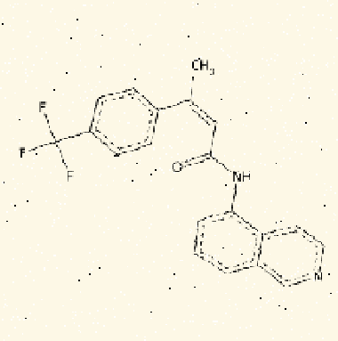 C/C(=C/C(=O)Nc1cccc2cnccc12)c1ccc(C(F)(F)F)cc1